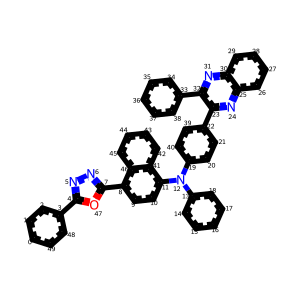 c1ccc(-c2nnc(-c3ccc(N(c4ccccc4)c4ccc(-c5nc6ccccc6nc5-c5ccccc5)cc4)c4ccccc34)o2)cc1